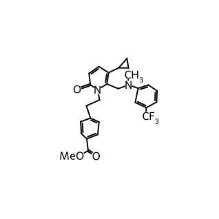 COC(=O)c1ccc(CCn2c(CN(C)c3cccc(C(F)(F)F)c3)c(C3CC3)ccc2=O)cc1